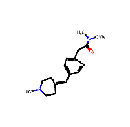 CON(C)C(=O)Cc1ccc(C=C2CCN(C(C)(C)C)CC2)cc1